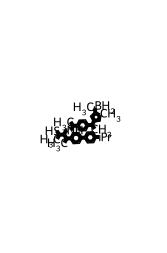 BC(C)C1CC(C(C)C2CCC(C(C)NCC(C(C)S)C(C)C3CCC(C4CCC(C(C)C)CC4)CC3)CC2)CC1C